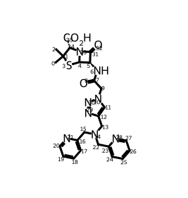 CC1(C)SC2[C@H](NC(=O)Cn3cc(CN(Cc4ccccn4)Cc4ccccn4)nn3)C(=O)N2[C@H]1C(=O)O